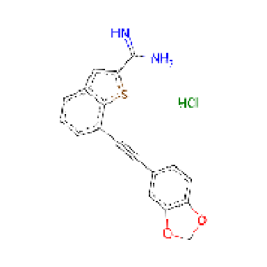 Cl.N=C(N)c1cc2cccc(C#Cc3ccc4c(c3)OCO4)c2s1